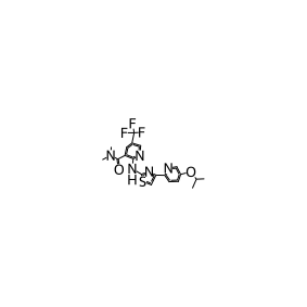 CC(C)Oc1ccc(-c2csc(Nc3ncc(C(F)(F)F)cc3C(=O)N(C)C)n2)nc1